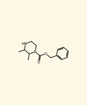 CC1NCCN(C(=O)OCc2ccccc2)C1C